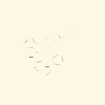 COCCNC(=O)CN1CCN(c2ccccc2NC(=O)c2ccn3ncc(-c4cccc(Cl)c4)c3n2)CC1